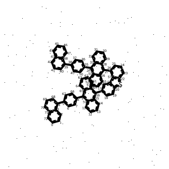 c1ccc2c(-c3ccc(-c4c5ccccc5c(-c5ccc6sc7cccc(-c8c9ccccc9c(-c9ccc(-c%10cccc%11ccccc%10%11)cc9)c9ccccc89)c7c6c5)c5ccccc45)cc3)cccc2c1